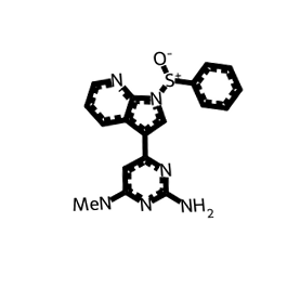 CNc1cc(-c2cn([S+]([O-])c3ccccc3)c3ncccc23)nc(N)n1